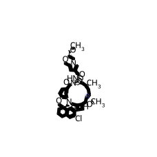 COC[C@@H]1Cn2cc(C(=O)NS3(=O)=NC(=O)c4ccc5c(c4)N(C[C@@H]4CC[C@H]4[C@@H](OC)/C=C/C[C@H](C)C3)C[C@@]3(CCCc4cc(Cl)ccc43)CO5)cc2CO1